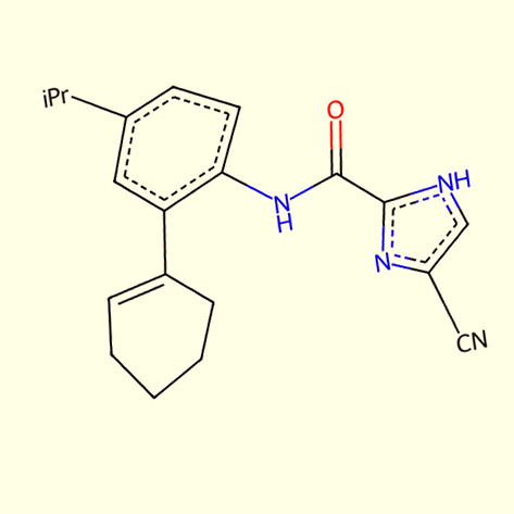 CC(C)c1ccc(NC(=O)c2nc(C#N)c[nH]2)c(C2=CCCCC2)c1